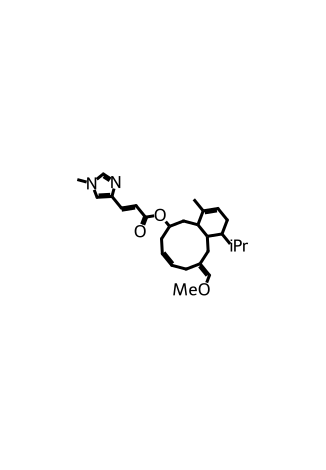 CO/C=C1\C/C=C\CC(OC(=O)/C=C/c2cn(C)cn2)CC2C(C)=CCC(C(C)C)C2C1